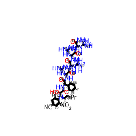 CC(C)CCN(c1c([N+](=O)[O-])cc(C#N)cc1[N+](=O)[O-])C(O)C(=O)NC(C(=O)NC(NC(=N)N)C(=O)NC(NC(=N)N)C(=O)NC(NC(=N)N)C(=O)NC(NC(=N)N)C(N)=O)c1ccccc1